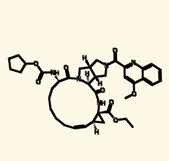 CCOC(=O)[C@@]12C[C@H]1/C=C\CCCCC[C@H](NC(=O)OC1CCCC1)C(=O)N1C[C@@H]3CN(C(=O)c4cc(OC)c5ccccc5n4)C[C@@H]3[C@H]1C(=O)N2